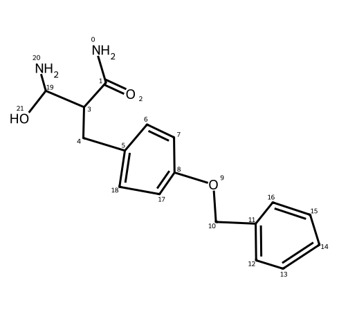 NC(=O)C(Cc1ccc(OCc2ccccc2)cc1)C(N)O